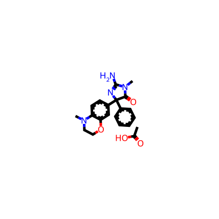 CC(=O)O.CN1C(=O)C(c2ccccc2)(c2ccc3c(c2)OCCN3C)N=C1N